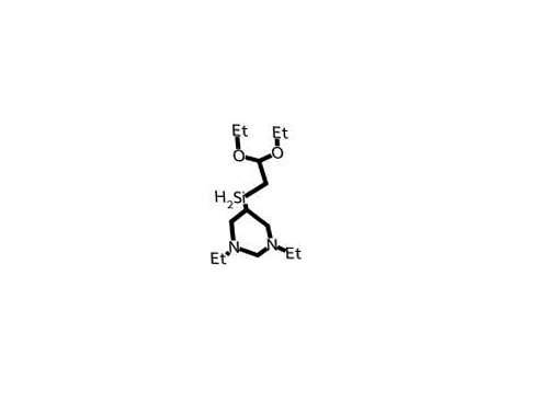 CCOC(C[SiH2]C1CN(CC)CN(CC)C1)OCC